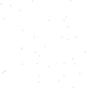 O=CC(Cl)c1ccc(Br)c(F)c1